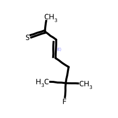 CC(=S)/C=C/CC(C)(C)F